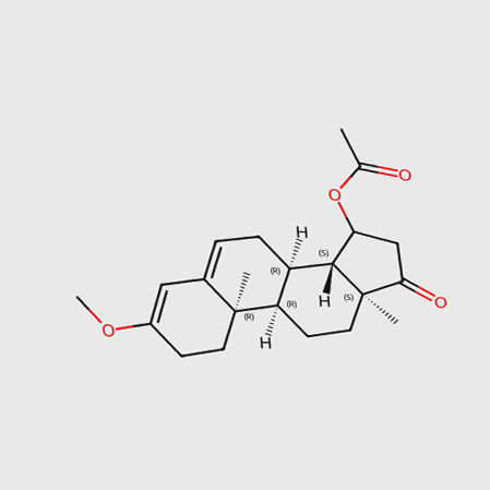 COC1=CC2=CC[C@@H]3[C@@H](CC[C@]4(C)C(=O)CC(OC(C)=O)[C@@H]34)[C@@]2(C)CC1